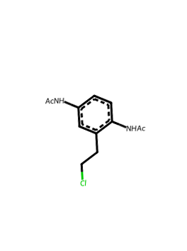 CC(=O)Nc1ccc(NC(C)=O)c(CCCl)c1